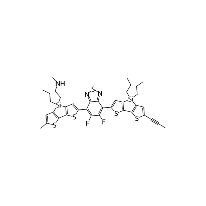 CC#Cc1cc2c(s1)-c1sc(-c3c(F)c(F)c(-c4cc5c(s4)-c4sc(C)cc4[Si]5(CCC)CCNC)c4nsnc34)cc1[Si]2(CCC)CCC